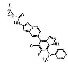 CN(c1ccncc1)c1c(F)c(Cl)c(-c2ccn3nc(NC(=O)[C@@H]4C[C@@H]4F)cc3c2)c2cn[nH]c12